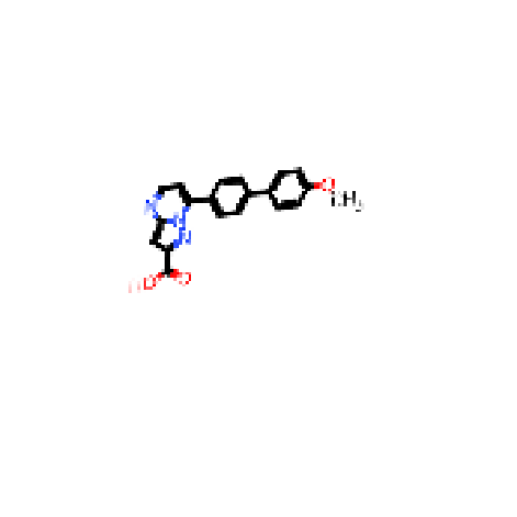 COc1ccc(-c2ccc(-c3ccnc4cc(C(=O)O)nn34)cc2)cc1